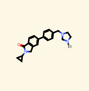 CCN1CCN(Cc2ccc(-c3ccc4c(c3)CN(C3CC3)C4=O)cc2)C1